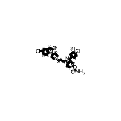 NC(=O)ON1CCc2c(c(-c3ccc(Cl)c(Cl)c3)nn2CCCN2CCC(N3C(=O)Cc4cc(Cl)ccc43)CC2)C1